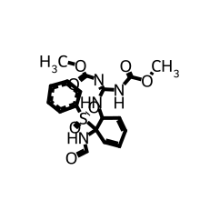 COC(=O)/N=C(/NC(=O)OC)NC1C=CC=CC1(NC=O)S(=O)(=O)c1ccccc1